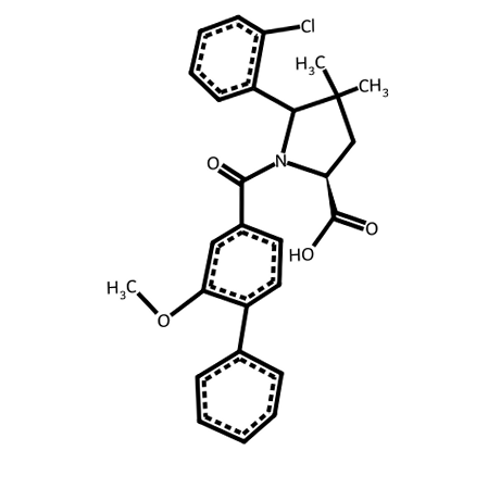 COc1cc(C(=O)N2C(c3ccccc3Cl)C(C)(C)C[C@H]2C(=O)O)ccc1-c1ccccc1